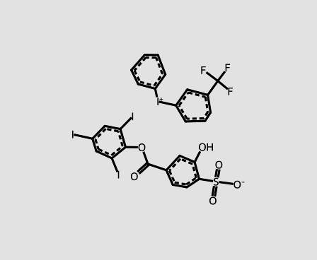 FC(F)(F)c1cccc([I+]c2ccccc2)c1.O=C(Oc1c(I)cc(I)cc1I)c1ccc(S(=O)(=O)[O-])c(O)c1